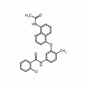 CC(=O)Nc1cccc2c(Oc3cc(NC(=O)c4ccccc4Cl)ccc3C)ccnc12